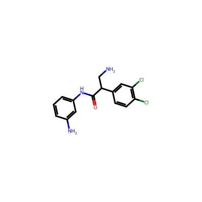 NCC(C(=O)Nc1cccc(N)c1)c1ccc(Cl)c(Cl)c1